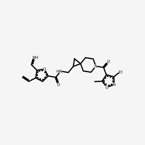 C=Cc1cc(C(=O)NCC2CC23CCN(C(=O)c2c(CC)noc2C)CC3)oc1C=N